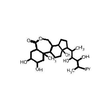 CC(C)C(C)C(O)C(O)C(C)C1CCC2C3COC(=O)C4CC(O)C(O)CC4(C)C3CCC12C